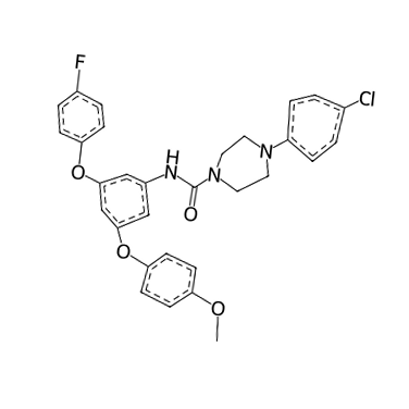 COc1ccc(Oc2cc(NC(=O)N3CCN(c4ccc(Cl)cc4)CC3)cc(Oc3ccc(F)cc3)c2)cc1